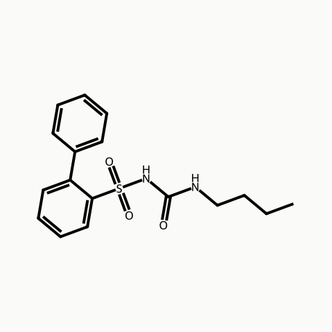 CCCCNC(=O)NS(=O)(=O)c1ccccc1-c1ccccc1